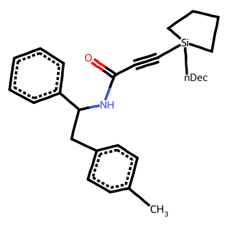 CCCCCCCCCC[Si]1(C#CC(=O)NC(Cc2ccc(C)cc2)c2ccccc2)CCCC1